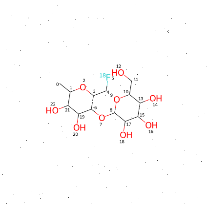 CC1OC(C[18F])C(OC2OC(CO)C(O)C(O)C2O)C(O)C1O